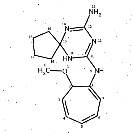 COC1C=CC=CC=C1NC1=NC(N)=NC2(CCCC2)N1